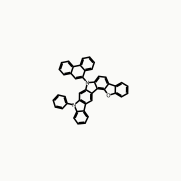 c1ccc(-n2c3ccccc3c3cc4c5c6oc7ccccc7c6ccc5n(-c5cc6ccccc6c6ccccc56)c4cc32)cc1